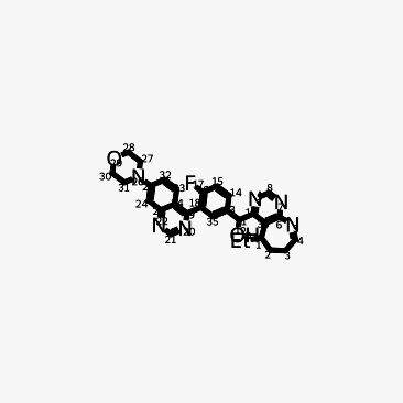 CCC1CCC=Nc2ncnc(C(O)c3ccc(F)c(-c4ncnc5cc(N6CCOCC6)ccc45)c3)c21